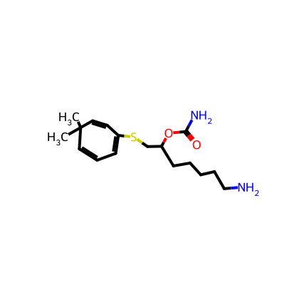 CC1(C)C=CC=C(SCC(CCCCCN)OC(N)=O)C=C1